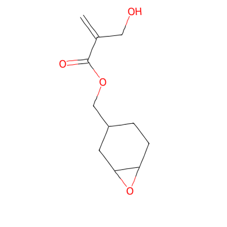 C=C(CO)C(=O)OCC1CCC2OC2C1